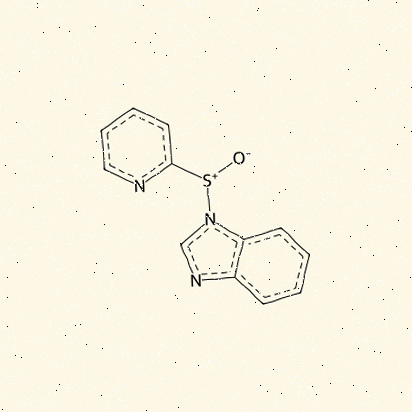 [O-][S+](c1ccccn1)n1cnc2ccccc21